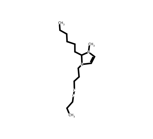 CCCCCCCCN1C=CN(C)C1CCCCCC